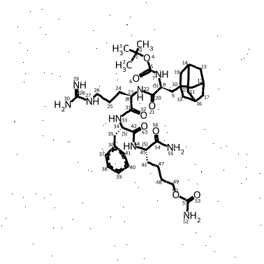 CC(C)(C)OC(=O)N[C@@H](CC12CC3CC(CC(C3)C1)C2)C(=O)N[C@H](CCCNC(=N)N)C(=O)N[C@@H](Cc1ccccc1)C(=O)N[C@@H](CCCCOC(N)=O)C(N)=O